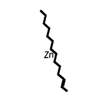 CC=CCCCCCCCCCCC.[Zn]